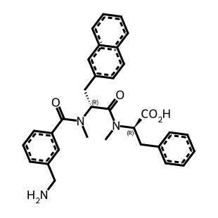 CN(C(=O)c1cccc(CN)c1)[C@H](Cc1ccc2ccccc2c1)C(=O)N(C)[C@H](Cc1ccccc1)C(=O)O